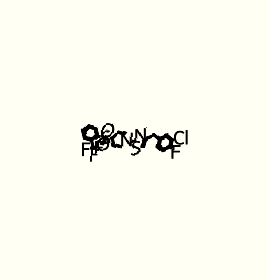 O=S(=O)(c1ccccc1C(F)(F)F)C1CCN(c2nc(Cc3ccc(F)c(Cl)c3)cs2)CC1